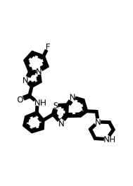 O=C(Nc1ccccc1-c1nc2cc(CN3CCNCC3)cnc2s1)c1cn2cc(F)ccc2n1